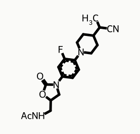 CC(=O)NCC1CN(c2ccc(N3CCC(C(C)C#N)CC3)c(F)c2)C(=O)O1